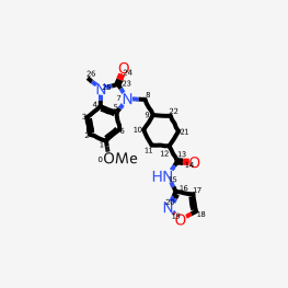 COc1ccc2c(c1)n(CC1CCC(C(=O)Nc3ccon3)CC1)c(=O)n2C